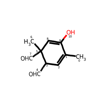 CC1=CC(C=O)C(C)(C=O)C=C1O